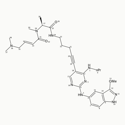 CCCNc1nc(Nc2ccc3[nH]nc(OC)c3c2)ncc1C#CCCCNC(=O)[C@H](C)N(C)C(=O)/C=C/CN(C)C